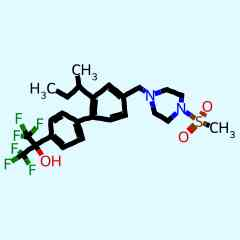 CCC(C)c1cc(CN2CCN(S(C)(=O)=O)CC2)ccc1-c1ccc(C(O)(C(F)(F)F)C(F)(F)F)cc1